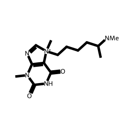 CNC(C)CCCC[N+]1(C)C=Nc2c1c(=O)[nH]c(=O)n2C